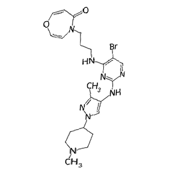 Cc1nn(C2CCN(C)CC2)cc1Nc1ncc(Br)c(NCCCN2C=COC=CC2=O)n1